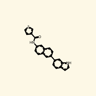 O=C(Nc1ccc2cc(-c3ccc4cc[nH]c4c3)ccc2c1)c1ccsc1